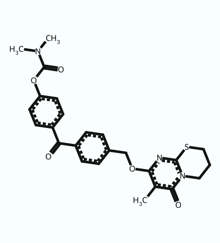 Cc1c(OCc2ccc(C(=O)c3ccc(OC(=O)N(C)C)cc3)cc2)nc2n(c1=O)CCCS2